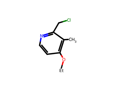 CCOc1ccnc(CCl)c1C